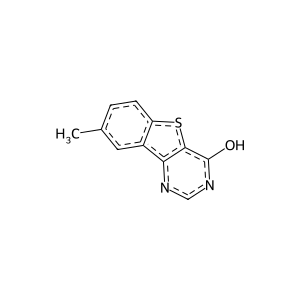 Cc1ccc2sc3c(O)ncnc3c2c1